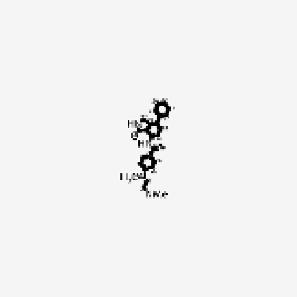 CNCCN(C)c1ccc(C(=O)Nc2ccc(-c3ccccc3)c3c2C(=O)NC3)cc1